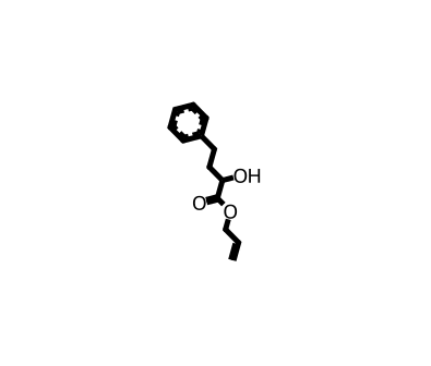 C=CCOC(=O)C(O)CCc1ccccc1